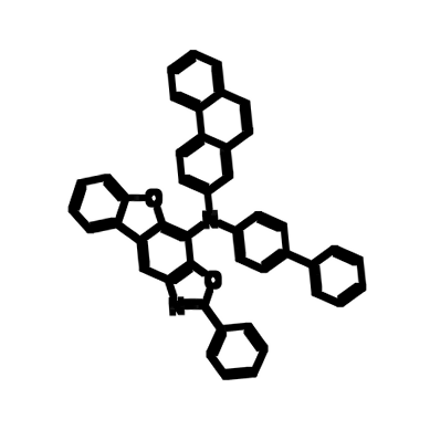 c1ccc(-c2ccc(N(c3ccc4c(ccc5ccccc54)c3)c3c4oc(-c5ccccc5)nc4cc4c3oc3ccccc34)cc2)cc1